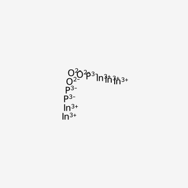 [In+3].[In+3].[In+3].[In+3].[In+3].[O-2].[O-2].[O-2].[P-3].[P-3].[P-3]